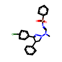 CN(C=NS(=O)(=O)c1ccccc1)N1CC(c2ccccc2)C(c2ccc(Cl)cc2)=N1